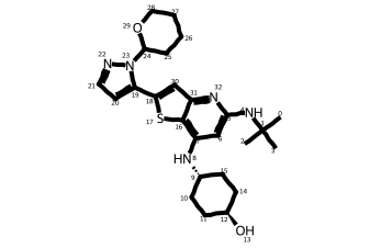 CC(C)(C)Nc1cc(N[C@H]2CC[C@H](O)CC2)c2sc(-c3ccnn3C3CCCCO3)cc2n1